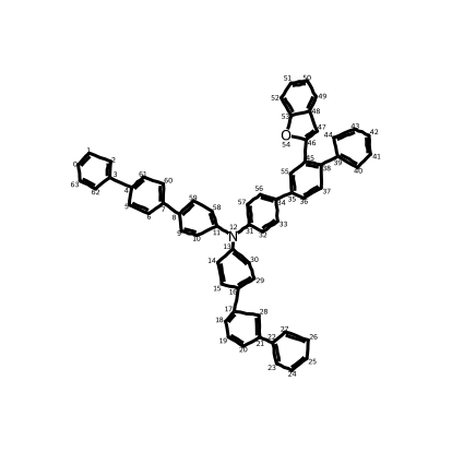 c1ccc(-c2ccc(-c3ccc(N(c4ccc(-c5cccc(-c6ccccc6)c5)cc4)c4ccc(-c5ccc(-c6ccccc6)c(-c6cc7ccccc7o6)c5)cc4)cc3)cc2)cc1